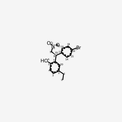 CCc1ccc(O)c([C@@H](C[N+](=O)[O-])c2ccc(Br)cc2)c1